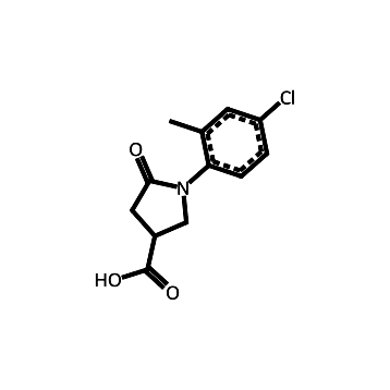 Cc1cc(Cl)ccc1N1CC(C(=O)O)CC1=O